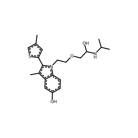 Cc1csc(-c2c(C)c3cc(O)ccc3n2CCOCC(O)NC(C)C)c1